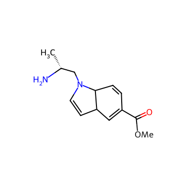 COC(=O)C1=CC2C=CN(C[C@@H](C)N)C2C=C1